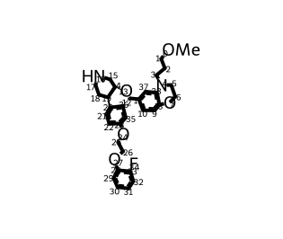 COCCCN1CCOc2ccc(CO[C@H]3CNCC[C@@H]3c3ccc(OCCOc4ccccc4F)cc3)cc21